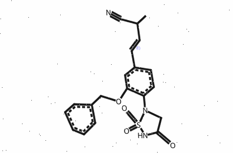 CC(C#N)/C=C/c1ccc(N2CC(=O)NS2(=O)=O)c(OCc2ccccc2)c1